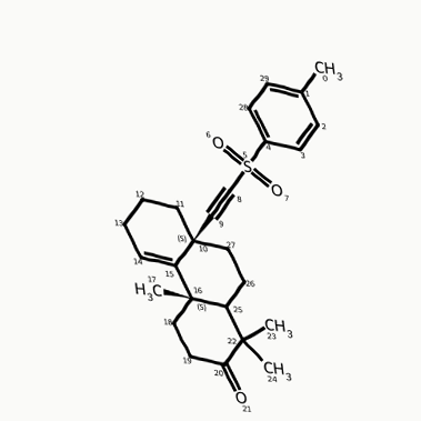 Cc1ccc(S(=O)(=O)C#C[C@]23CCCC=C2[C@@]2(C)CCC(=O)C(C)(C)C2CC3)cc1